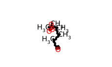 COC1=C(C)C(=O)O/C1=C\C(C)CCC/C(C)=C\CC/C(C)=C\CCc1ccoc1